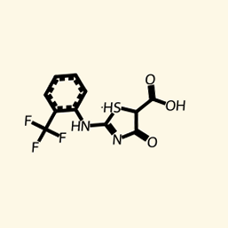 O=C(O)C1[SH]C(Nc2ccccc2C(F)(F)F)=NC1=O